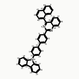 c1ccc2c(-c3nc(-c4ccc(-c5ccc(-n6c7ccccc7c7ccccc76)cc5)cc4)nc4ccccc34)cccc2c1